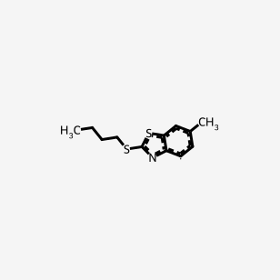 CCCCSc1nc2[c]cc(C)cc2s1